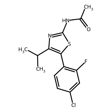 CC(=O)Nc1nc(C(C)C)c(-c2ccc(Cl)cc2F)s1